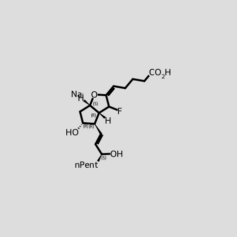 CCCCC[C@H](O)C=C[C@@H]1[C@H]2C(F)C(=CCCCC(=O)O)O[C@H]2C[C@H]1O.[Na]